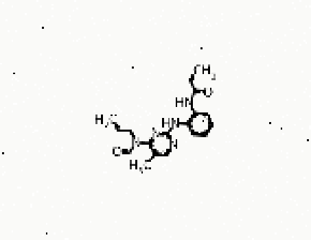 C=CCN(C=O)c1nc(Nc2ccccc2NC(=O)C=C)ncc1C